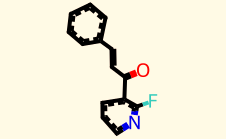 O=C(C=Cc1ccccc1)c1cccnc1F